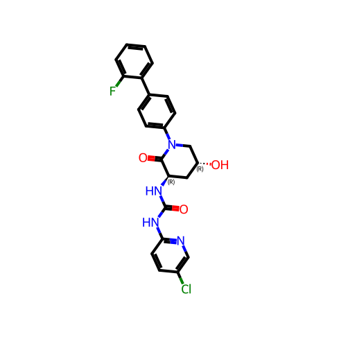 O=C(Nc1ccc(Cl)cn1)N[C@@H]1C[C@@H](O)CN(c2ccc(-c3ccccc3F)cc2)C1=O